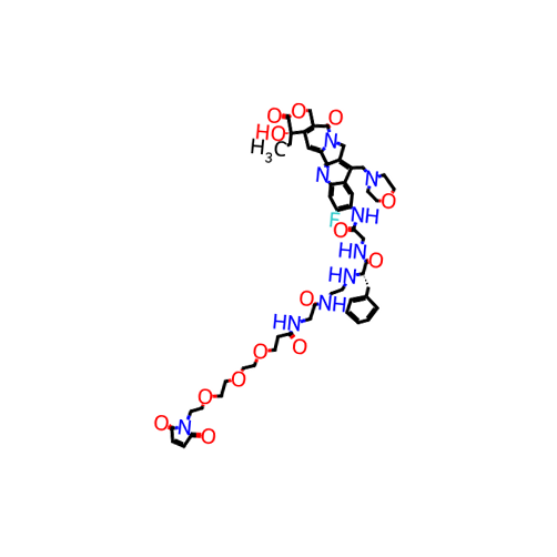 CC[C@@]1(O)C(=O)OCc2c1cc1n(c2=O)Cc2c-1nc1cc(F)c(NC(=O)CNC(=O)[C@H](Cc3ccccc3)NCCNC(=O)CNC(=O)CCOCCOCCOCCN3C(=O)C=CC3=O)cc1c2CN1CCOCC1